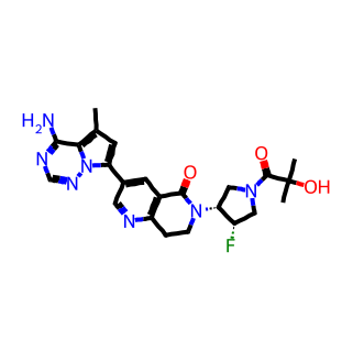 Cc1cc(-c2cnc3c(c2)C(=O)N([C@@H]2CN(C(=O)C(C)(C)O)C[C@@H]2F)CC3)n2ncnc(N)c12